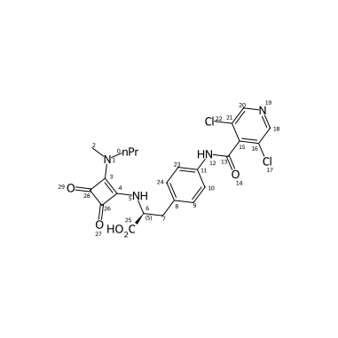 CCCN(C)c1c(N[C@@H](Cc2ccc(NC(=O)c3c(Cl)cncc3Cl)cc2)C(=O)O)c(=O)c1=O